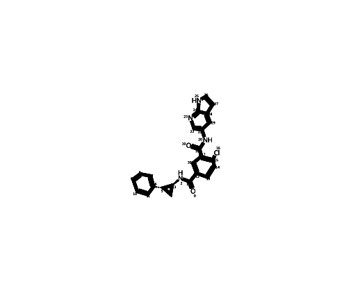 O=C(N[C@H]1C[C@@H]1c1ccccc1)c1ccc(Cl)c(C(=O)Nc2cnc3[nH]ccc3c2)c1